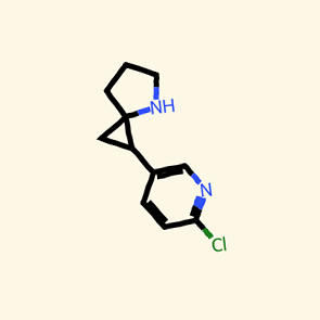 Clc1ccc(C2CC23CCCN3)cn1